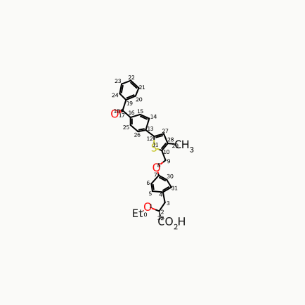 CCO[C@@H](Cc1ccc(OCc2sc(-c3ccc(C(=O)c4ccccc4)cc3)cc2C)cc1)C(=O)O